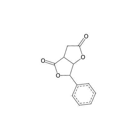 O=C1CC2C(=O)OC(c3ccccc3)C2O1